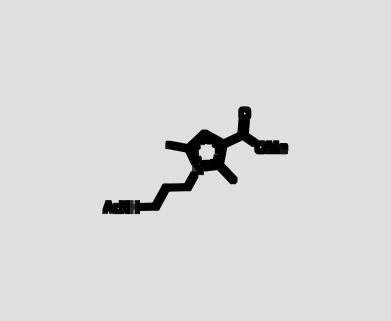 COC(=O)c1cc(C)n(CCCNC(C)=O)c1C